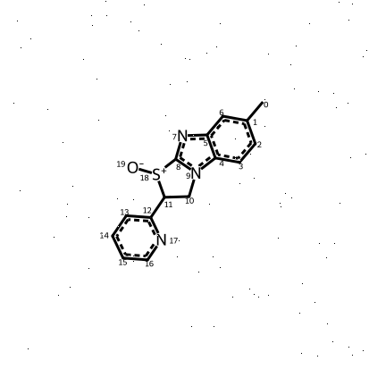 Cc1ccc2c(c1)nc1n2CC(c2ccccn2)[S+]1[O-]